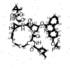 Cc1ccc(C(=O)N[C@H]2CCCCC/C=C\[C@@H]3C[C@@]3(C(=O)NS(=O)(=O)C3(C)CC3)NC(=O)[C@@H]3C[C@@H](Oc4nc5cc(OC(F)(F)F)ccc5c5ccccc45)CN3C2=O)s1